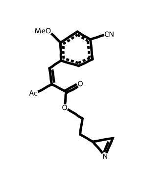 COc1cc(C#N)ccc1/C=C(/C(C)=O)C(=O)OCCC1C=N1